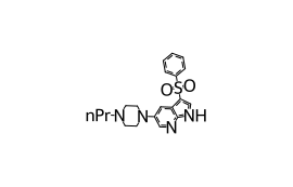 CCCN1CCN(c2cnc3[nH]cc(S(=O)(=O)c4ccccc4)c3c2)CC1